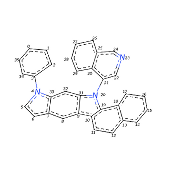 c1ccc(-n2ccc3cc4c5ccc6ccccc6c5n(-c5cncc6ccccc56)c4cc32)cc1